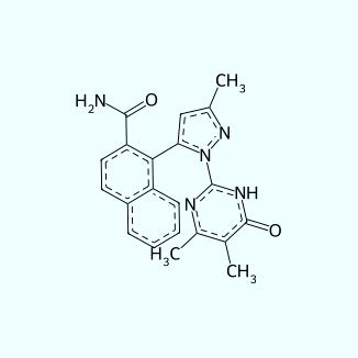 Cc1cc(-c2c(C(N)=O)ccc3ccccc23)n(-c2nc(C)c(C)c(=O)[nH]2)n1